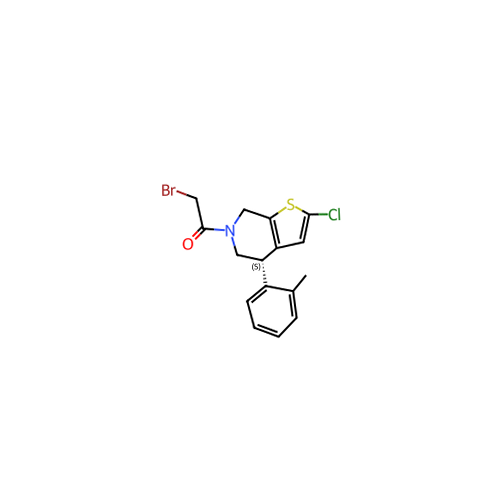 Cc1ccccc1[C@@H]1CN(C(=O)CBr)Cc2sc(Cl)cc21